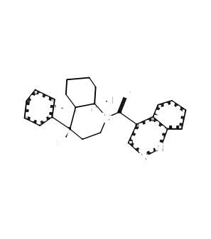 O=C(c1cnnc2ccccc12)N1CC[C@](O)(c2ccccc2)[C@H]2CCCC[C@H]21